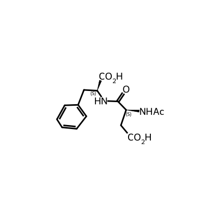 CC(=O)N[C@@H](CC(=O)O)C(=O)N[C@@H](Cc1ccccc1)C(=O)O